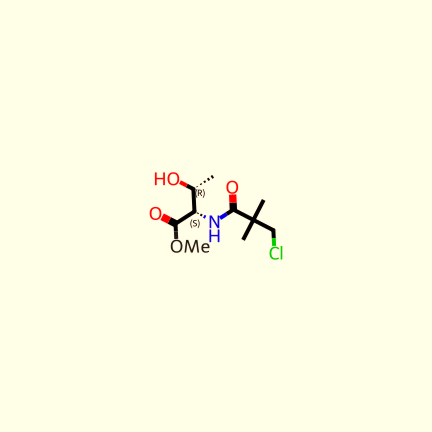 COC(=O)[C@@H](NC(=O)C(C)(C)CCl)[C@@H](C)O